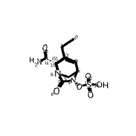 CCC1=CC2CN(C(=O)N2OS(=O)(=O)O)[C@@H]1C(N)=O